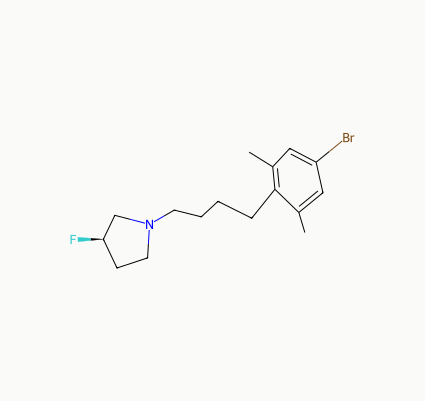 Cc1cc(Br)cc(C)c1CCCCN1CC[C@@H](F)C1